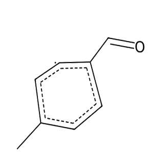 Cc1c[c]c(C=O)cc1